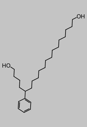 OCCCCCCCCCCCCCCC(CCCCO)c1ccccc1